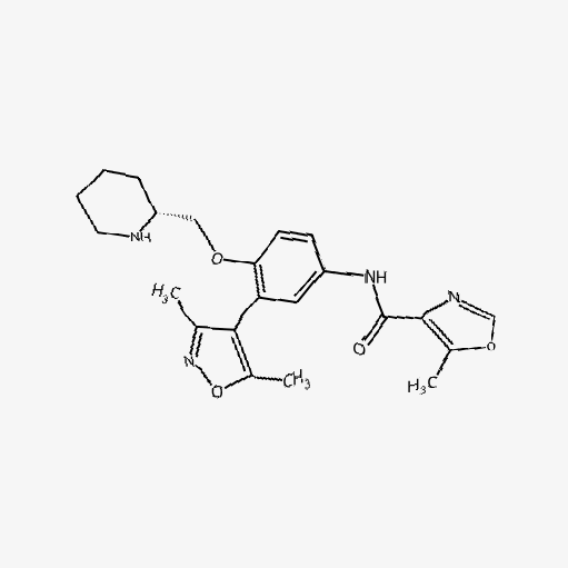 Cc1noc(C)c1-c1cc(NC(=O)c2ncoc2C)ccc1OC[C@H]1CCCCN1